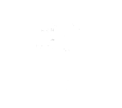 CC(=O)Oc1cccc([C@@]23CC[N+](C)(C)C[C@@]2(OC(C)=O)CC[C@@H](NC(=O)CCCCCc2ccccc2)C3)c1